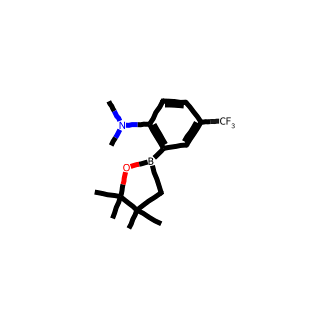 CN(C)c1ccc(C(F)(F)F)cc1B1CC(C)(C)C(C)(C)O1